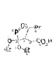 CCOC(OCC)(P=O)C(CC(=O)O)CC(C)C